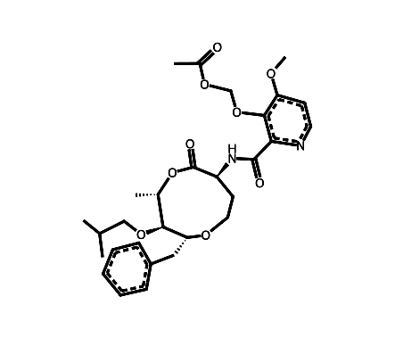 COc1ccnc(C(=O)N[C@H]2CCO[C@H](Cc3ccccc3)[C@@H](OCC(C)C)[C@H](C)OC2=O)c1OCOC(C)=O